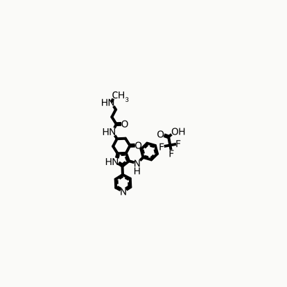 CNCCC(=O)NC1CC(=O)c2c([nH]c(-c3ccncc3)c2Nc2ccccc2)C1.O=C(O)C(F)(F)F